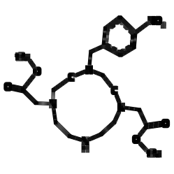 CC(C)(C)OC(=O)CN1CCNCCN(CC(=O)OC(C)(C)C)CCN(Cc2ccc([N+](=O)[O-])cc2)CC1